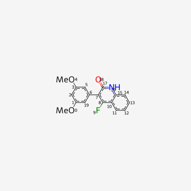 COc1cc(OC)cc(-c2c(F)c3ccccc3[nH]c2=O)c1